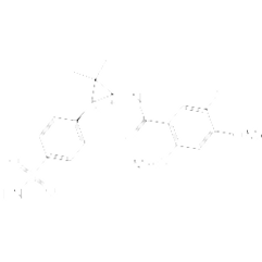 COc1cc(OC)c(C(=O)N[C@@H]2[C@@H](c3ccc(S(N)(=O)=O)cc3)C2(C)C)cc1Cl